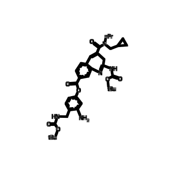 CCCN(CC1CC1)C(=O)C1=Cc2ccc(C(=O)Oc3ccc(CNC(=O)OC(C)(C)C)c(N)c3)cc2N=C(NC(=O)OC(C)(C)C)C1